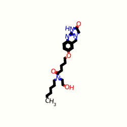 CCCCCCN(CCO)C(=O)CCCCOc1ccc2c(c1)CN1CC(=O)NC1=N2